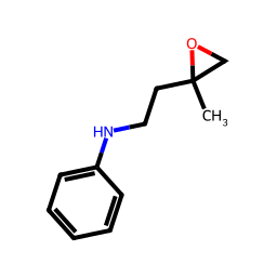 CC1(CCNc2ccccc2)CO1